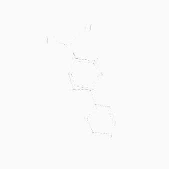 OB(O)c1ccc(C2=CCNC=C2)cc1